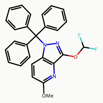 COc1ccc2c(n1)c(OC(F)F)nn2C(c1ccccc1)(c1ccccc1)c1ccccc1